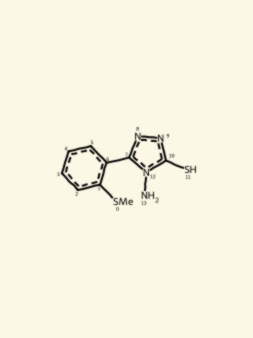 CSc1ccccc1-c1nnc(S)n1N